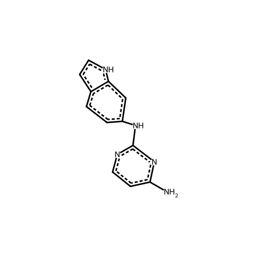 Nc1ccnc(Nc2ccc3cc[nH]c3c2)n1